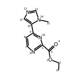 CCOC(=O)c1nccc(-c2cncn2C)n1